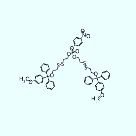 COc1ccc(C(OCCSSCCOP(=O)(OCCSSCCOC(c2ccccc2)(c2ccccc2)c2ccc(OC)cc2)Oc2ccc([N+](=O)[O-])cc2)(c2ccccc2)c2ccccc2)cc1